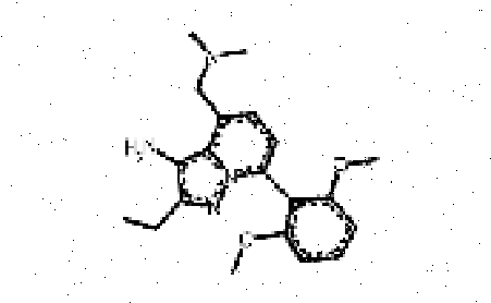 CCc1nn2c(-c3c(OC)cccc3OC)ccc(CN(C)C)c2c1N